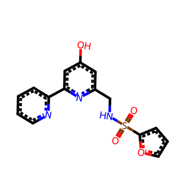 O=S(=O)(NCc1cc(O)cc(-c2ccccn2)n1)c1ccco1